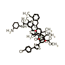 CCc1cccc(CCc2cc(CC)c(-n3c(C(C)C)c(C(=O)OC)cc(-c4nc(-c5ccc(Cl)cc5)cs4)c3=O)c(CC)c2)c1-n1c(C)c(C(=O)NC2CCCC(N)C2)cc(-c2nc(-c3ccc(Cl)cc3)cs2)c1=O